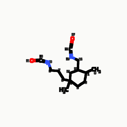 CC1CCC(C)(CCCN=C=O)CC1CN=C=O